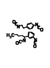 CCCCC(N=C=O)c1cccc(N=C=O)c1.O=C=NCCc1ccc(N=C=O)cc1